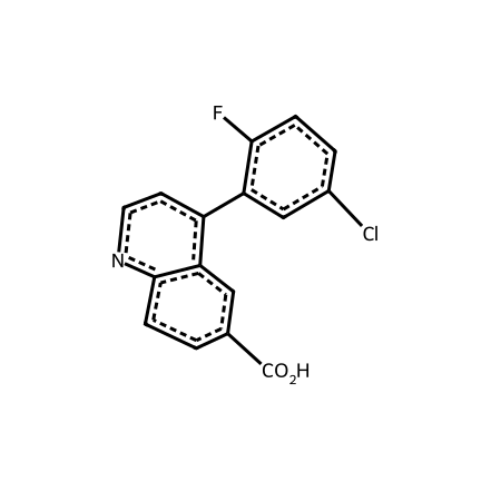 O=C(O)c1ccc2nccc(-c3cc(Cl)ccc3F)c2c1